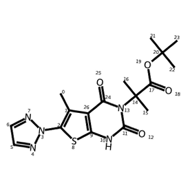 Cc1c(-n2nccn2)sc2[nH]c(=O)n(C(C)(C)C(=O)OC(C)(C)C)c(=O)c12